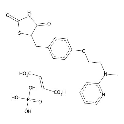 CN(CCOc1ccc(CC2SC(=O)NC2=O)cc1)c1ccccn1.O=C(O)C=CC(=O)O.O=P(O)(O)O